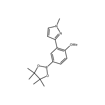 COc1ccc(B2OC(C)(C)C(C)(C)O2)cc1-c1ccn(C)n1